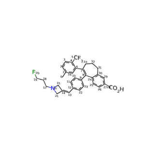 Cc1ccc(C(F)(F)F)c(C2=C(c3ccc(C=C4CN(CCCF)C4)cc3)c3ccc(C(=O)O)cc3CCC2)c1